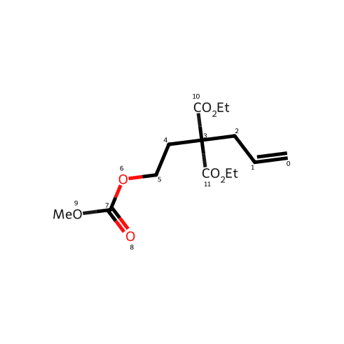 C=CCC(CCOC(=O)OC)(C(=O)OCC)C(=O)OCC